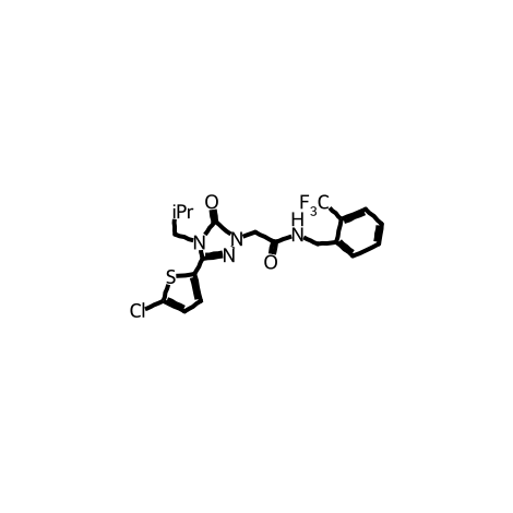 CC(C)Cn1c(-c2ccc(Cl)s2)nn(CC(=O)NCc2ccccc2C(F)(F)F)c1=O